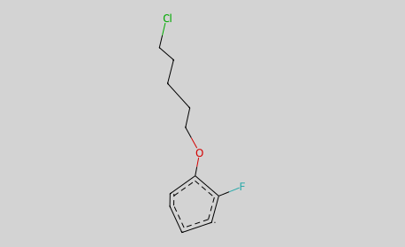 Fc1[c]cccc1OCCCCCCl